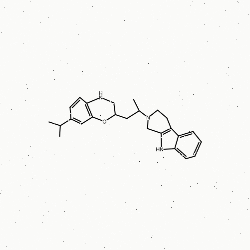 CC(C)c1ccc2c(c1)OC(CC(C)N1CCc3c([nH]c4ccccc34)C1)CN2